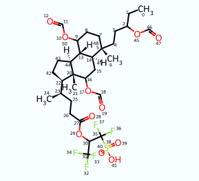 CCC(CC[C@@]1(C)CCC(OC=O)[C@@H]2[C@@H]1CC(OC=O)[C@]1(C)[C@@H]([C@H](C)CCC(=O)OC(C(F)(F)F)C(F)(F)S(=O)(=O)O)CC[C@@H]21)OC=O